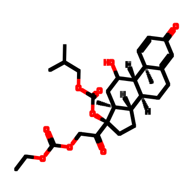 CCOC(=O)OCC(=O)[C@@]1(OC(=O)OCC(C)C)CC[C@H]2[C@@H]3CCC4=CC(=O)C=C[C@]4(C)[C@H]3C(O)C[C@@]21C